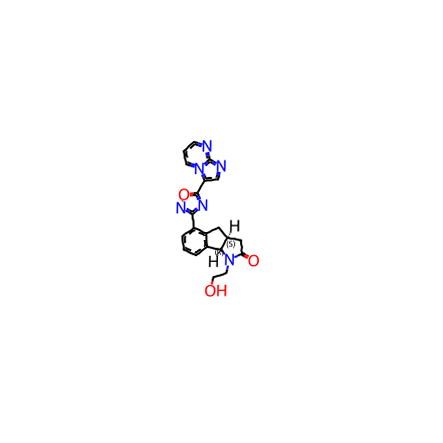 O=C1C[C@@H]2Cc3c(-c4noc(-c5cnc6ncccn56)n4)cccc3[C@@H]2N1CCO